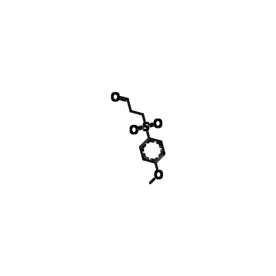 COc1ccc(S(=O)(=O)CCC=O)cc1